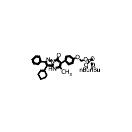 CCCCOP(=O)(OCCCC)OCOc1ccc(-c2c(C)[nH]c3c(C4=CCCCC4)c(-c4ccccc4)nn3c2=O)cc1